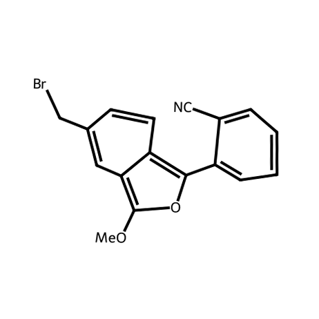 COc1oc(-c2ccccc2C#N)c2ccc(CBr)cc12